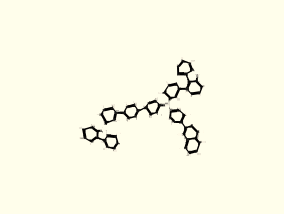 c1cc(-c2cccc3oc4ccccc4c23)cc(N(c2ccc(-c3ccc(-c4cccc(-n5c6ccccc6c6ccccc65)c4)cc3)cc2)c2ccc(-c3ccc4ccccc4c3)cc2)c1